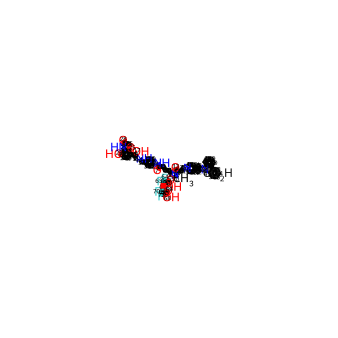 CN(CCCCC(=O)Nc1ccc(CNC[C@H](O)c2ccc(O)c3c2OCC(=O)N3)cc1)C(=O)CCN1CCC2(CC1)CC(N(C(=O)O)c1ccccc1-c1ccccc1)C2.O=C(O)C(F)(F)F.O=C(O)C(F)(F)F